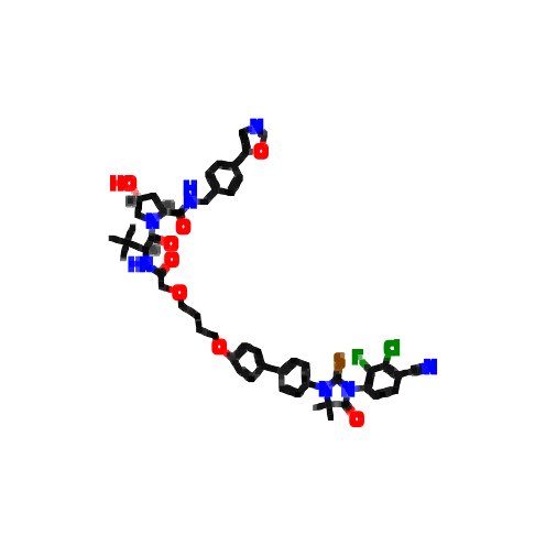 CC(C)(C)[C@H](NC(=O)COCCCCOc1ccc(-c2ccc(N3C(=S)N(c4ccc(C#N)c(Cl)c4F)C(=O)C3(C)C)cc2)cc1)C(=O)N1C[C@H](O)C[C@H]1C(=O)NCc1ccc(-c2cnco2)cc1